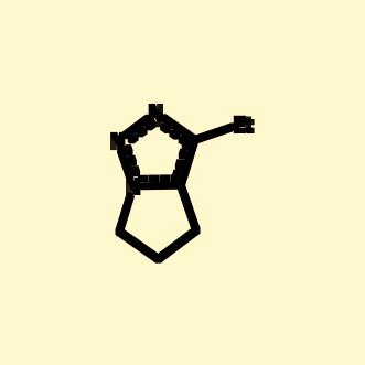 CCc1nnn2c1CCC2